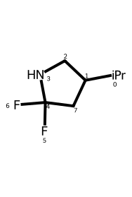 CC(C)C1CNC(F)(F)C1